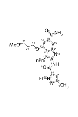 CCCn1c(NC(=O)c2cc(C)nn2CC)nc2cc(C(N)=O)cc(OCCCOC)c21